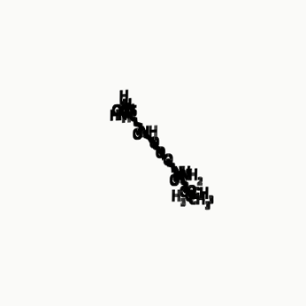 CC(C)(C)OC(=O)CC[C@H](N)C(=O)NCCCOCCOCCOCCCNC(=O)CCCC[C@@H]1SC[C@@H]2NC(=O)N[C@@H]21